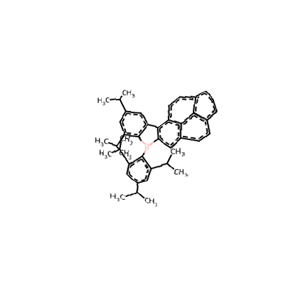 CC(C)c1cc2c(c(C(C)C)c1)B(c1c(C(C)C)cc(C(C)C)cc1C(C)C)c1cc3ccc4cccc5ccc(c1-2)c3c45